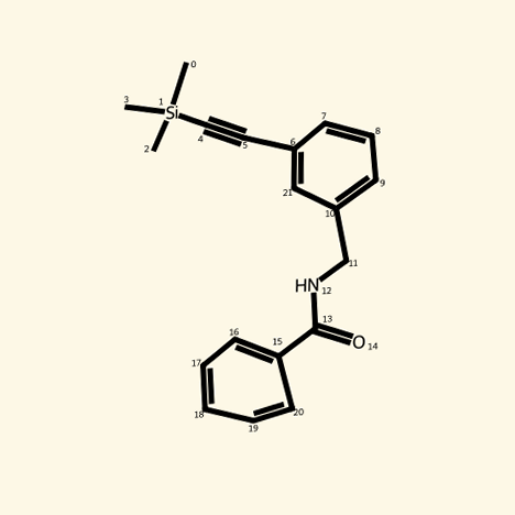 C[Si](C)(C)C#Cc1cccc(CNC(=O)c2ccccc2)c1